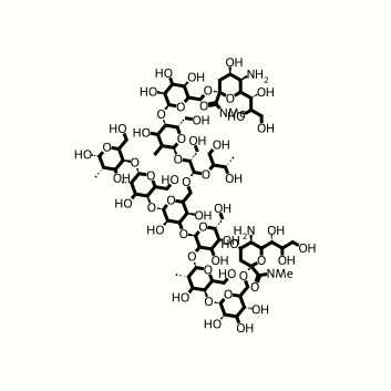 CNC(=O)[C@@]1(OCC2O[C@@H](O[C@@H]3C(CO)O[C@@H](OC4C(O)[C@H](O)[C@@H](CO)O[C@@H]4OC4[C@H](O)C(CO[C@@H](OC(CO)[C@H](C)O)[C@@H](CO)O[C@@H]5O[C@@H](CO)[C@@H](O[C@@H]6OC(CO[C@]7(C(=O)NC)C[C@@H](O)[C@@H](N)C([C@H](O)C(O)CO)O7)[C@H](O)C(O)[C@@H]6O)C(O)C5C)O[C@@H](O[C@@H]5C(CO)O[C@@H](O[C@@H]6C(CO)O[C@@H](O)[C@@H](C)C6O)[C@@H](C)C5O)[C@@H]4O)[C@@H](C)C3O)[C@@H](O)C(O)[C@H]2O)C[C@@H](O)[C@@H](N)C([C@H](O)C(O)CO)O1